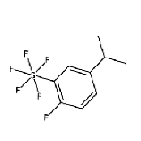 CC(C)c1ccc(F)c(S(F)(F)(F)(F)F)c1